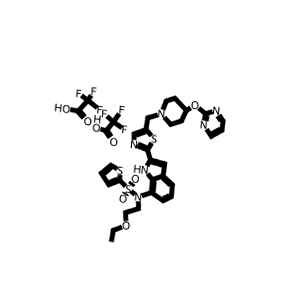 CCOCCN(c1cccc2cc(-c3ncc(CN4CCC(Oc5ncccn5)CC4)s3)[nH]c12)S(=O)(=O)c1cccs1.O=C(O)C(F)(F)F.O=C(O)C(F)(F)F